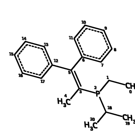 CCP(C(C)=C(c1ccccc1)c1ccccc1)C(C)C